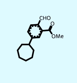 COC(=O)c1cc(C2CCCCCC2)ccc1C=O